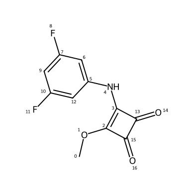 COc1c(Nc2cc(F)cc(F)c2)c(=O)c1=O